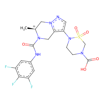 C[C@H]1Cn2ncc(N3CCN(C(=O)O)CS3(=O)=O)c2CN1C(=O)Nc1cc(F)c(F)c(F)c1